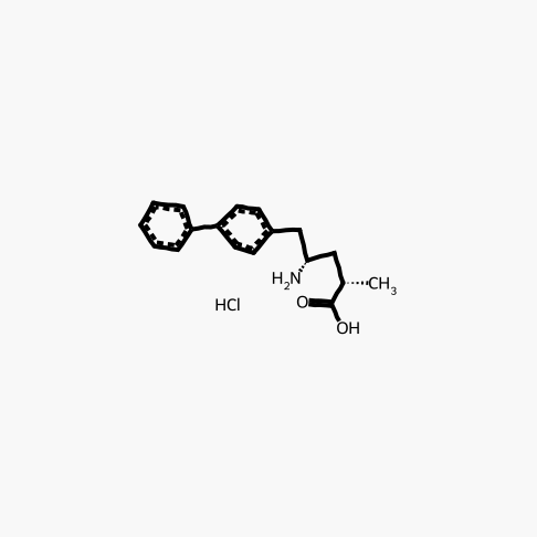 C[C@@H](C[C@H](N)Cc1ccc(-c2ccccc2)cc1)C(=O)O.Cl